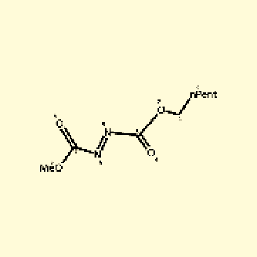 CCCCCCOC(=O)N=NC(=O)OC